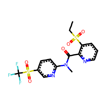 CCS(=O)(=O)c1cccnc1C(=O)N(C)c1ccc(S(=O)(=O)C(F)(F)F)cn1